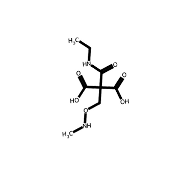 CCNC(=O)C(CONC)(C(=O)O)C(=O)O